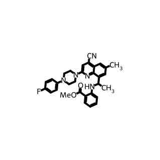 COC(=O)c1ccccc1NC(C)c1cc(C)cc2c(C#N)cc(N3CCN(c4ccc(F)cc4)CC3)nc12